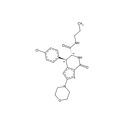 CCCNC(=O)[C@@H]1NC(=O)c2sc(N3CCOCC3)cc2[C@H]1c1ccc(Cl)cc1